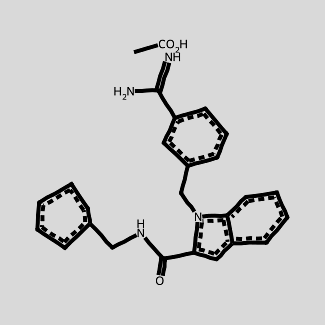 CC(=O)O.N=C(N)c1cccc(Cn2c(C(=O)NCc3ccccc3)cc3ccccc32)c1